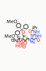 COc1ccc(C(OC[C@H]2S[C@@H](n3cnc4c(=O)[nH]c(NC(=O)C(C)C)nc43)[C@H](OP(=O)(O)O)[C@@H]2O[Si](C)(C)C(C)(C)C)(c2ccccc2)c2ccc(OC)cc2)cc1